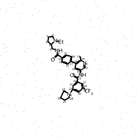 CCN1CCCC1CNC(=O)c1ccc(-c2cc(NC(=O)c3cc(N4CCCC4)cc(C(F)(F)F)c3)cnc2C)cc1